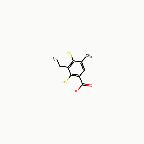 CCc1c(S)c(C)cc(C(=O)O)c1S